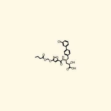 CCCC(=O)OCOc1cc(C(=O)NN(Cc2ccc(-c3cccc(Cl)c3)cc2)C[C@@H](O)C(=O)O)on1